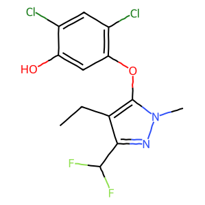 CCc1c(C(F)F)nn(C)c1Oc1cc(O)c(Cl)cc1Cl